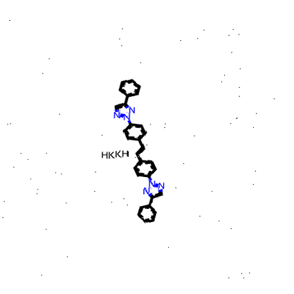 C(=Cc1ccc(-n2ncc(-c3ccccc3)n2)cc1)c1ccc(-n2ncc(-c3ccccc3)n2)cc1.[KH].[KH]